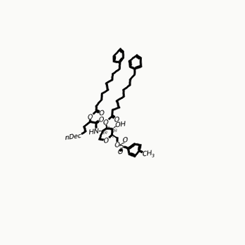 CCCCCCCCCCCCC(OC(=O)CCCCCCCCc1ccccc1)C(=O)N[C@H]1CO[C@H](COS(=O)(=O)c2ccc(C)cc2)[C@@H](O)[C@@H]1OC(=O)CCCCCCCCc1ccccc1